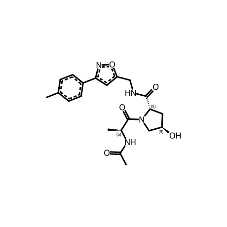 CC(=O)N[C@@H](C)C(=O)N1C[C@H](O)C[C@H]1C(=O)NCc1cc(-c2ccc(C)cc2)no1